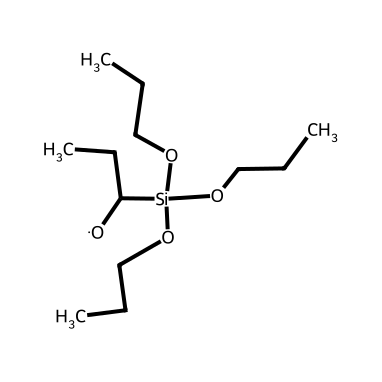 CCCO[Si](OCCC)(OCCC)C([O])CC